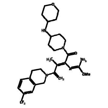 C=C(/C(C)=C(\N=C(/N)OC)C(=O)N1CCC(NC2CCOCC2)CC1)N1CCc2ccc(C(F)(F)F)cc2C1